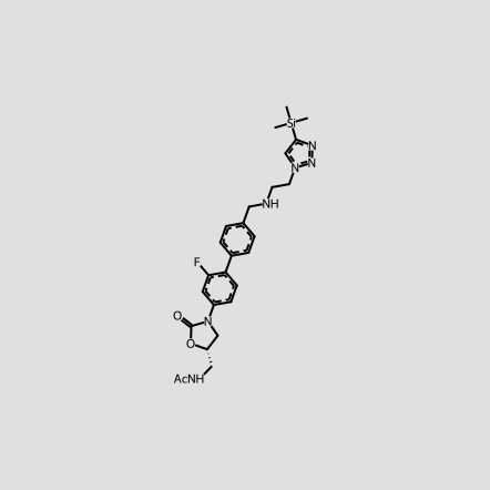 CC(=O)NC[C@H]1CN(c2ccc(-c3ccc(CNCCn4cc([Si](C)(C)C)nn4)cc3)c(F)c2)C(=O)O1